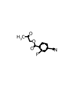 CC(=O)COC(=O)c1ccc(C#N)cc1F